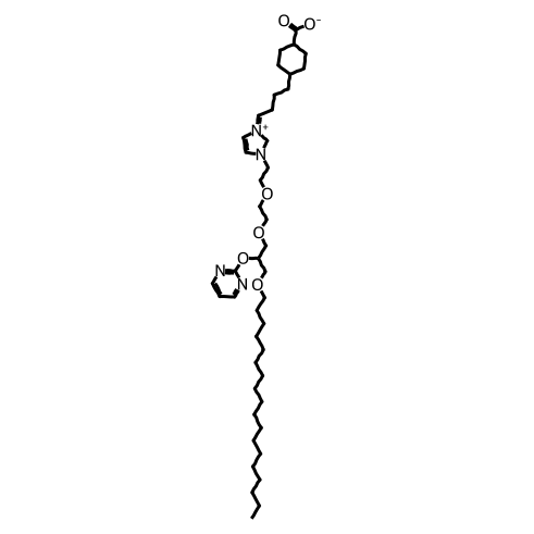 CCCCCCCCCCCCCCCCCCOCC(COCCOCCN1C=C[N+](=CCCCC2CCC(C(=O)[O-])CC2)C1)Oc1ncccn1